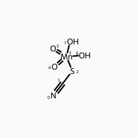 N#C[S][Mn](=[O])(=[O])([OH])[OH]